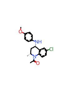 COc1ccc(N[C@H]2C[C@@H](C)N(C(C)=O)c3ccc(Cl)cc32)cc1